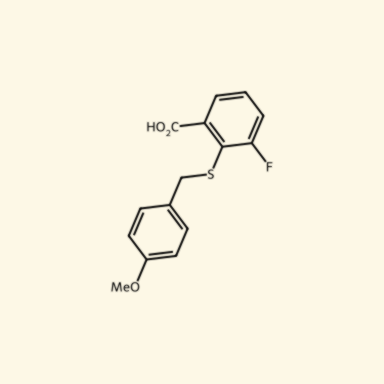 COc1ccc(CSc2c(F)cccc2C(=O)O)cc1